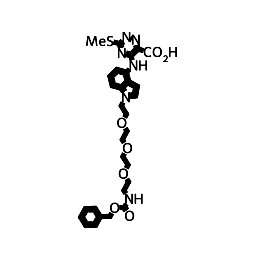 CSc1nnc(C(=O)O)c(Nc2cccc3c2ccn3CCOCCOCCOCCNC(=O)OCc2ccccc2)n1